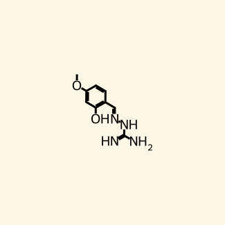 COc1ccc(/C=N/NC(=N)N)c(O)c1